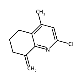 C=C1CCCc2c(C)cc(Cl)nc21